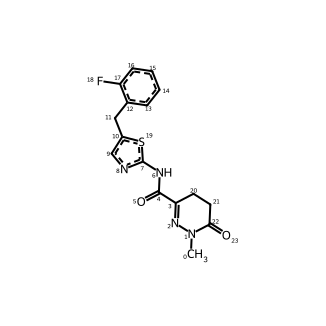 CN1N=C(C(=O)Nc2ncc(Cc3ccccc3F)s2)CCC1=O